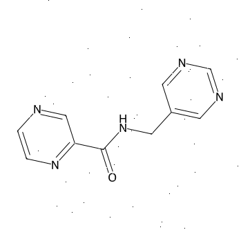 O=C(NCc1cncnc1)c1cnccn1